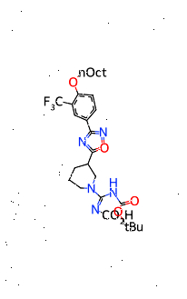 CCCCCCCCOc1ccc(-c2noc(C3CCCN(C(=NC(=O)O)NC(=O)OC(C)(C)C)C3)n2)cc1C(F)(F)F